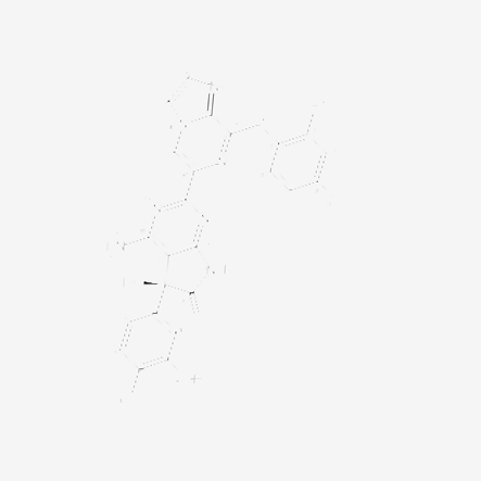 C[C@]1(c2ccc(F)c(O)c2)C(=O)Nc2nc(-c3cn4ccnc4c(Cc4ccc(F)cc4F)n3)nc(N)c21